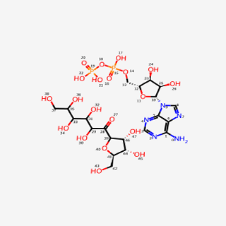 Nc1ncnc2c1ncn2[C@@H]1O[C@H](COP(=O)(O)OP(=O)(O)O)[C@@H](O)[C@H]1O.O=C(C(O)C(O)C(O)C(O)CO)C1O[C@H](CO)[C@@H](O)[C@H]1O